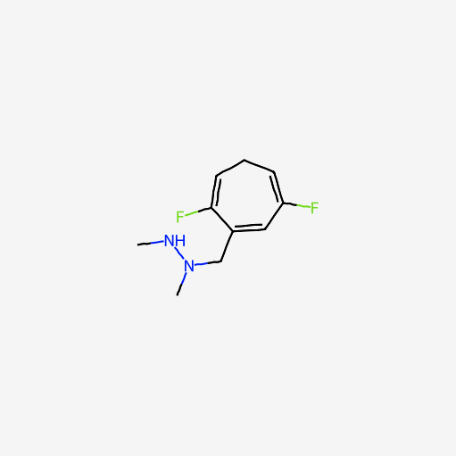 CNN(C)CC1=CC(F)=CCC=C1F